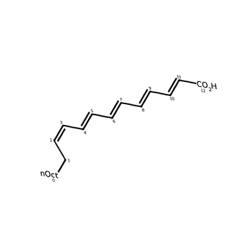 CCCCCCCCC\C=C/C=C/C=C/C=C/C=C/C(=O)O